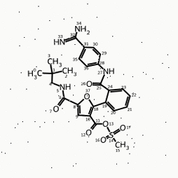 CC(C)(C)CNC(=O)c1cc(C(=O)OS(C)(=O)=O)c(-c2ccccc2C(=O)Nc2ccc(C(=N)N)cc2)o1